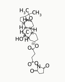 CC1(C)O[C@]23CC[C@H]4[C@@H](C[C@H](O)[C@H]5C[C@@H](OC(=O)CCC(=O)ON6C(=O)CCC6=O)CC[C@@]54C)[C@@H]2CCC13